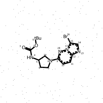 CC(C)(C)OC(=O)NC1CCN(c2ccc3ncc(Br)n3n2)C1